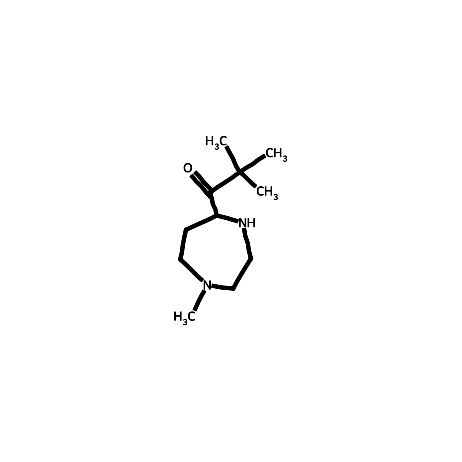 CN1CCNC(C(=O)C(C)(C)C)CC1